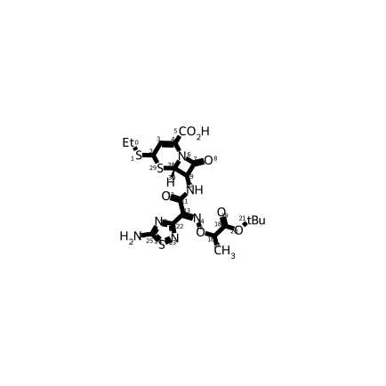 CCSC1C=C(C(=O)O)N2C(=O)C(NC(=O)C(=NOC(C)C(=O)OC(C)(C)C)c3nsc(N)n3)[C@@H]2S1